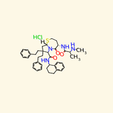 CNC(C)C(=O)N[C@H]1CCS[C@H]2CC(CCc3ccccc3)(CCc3ccccc3)C(C(=O)N[C@@H]3CCCc4ccccc43)N2C1=O.Cl